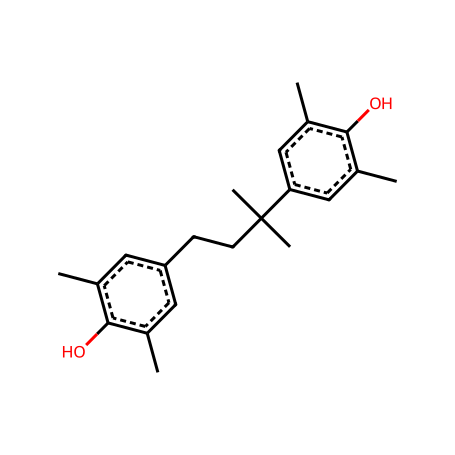 Cc1cc(CCC(C)(C)c2cc(C)c(O)c(C)c2)cc(C)c1O